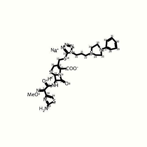 CO/N=C(/C(=O)NC1C(=O)N2C(C(=O)[O-])=C(CSc3nnnn3CCCN3CCN(c4ccccc4)CC3)CS[C@H]12)c1csc(N)n1.[Na+]